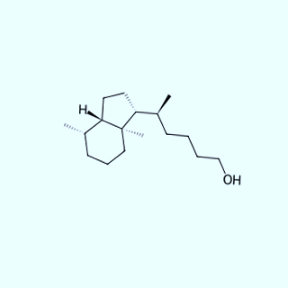 C[C@@H](CCCCO)[C@H]1CC[C@H]2[C@@H](C)CCC[C@]12C